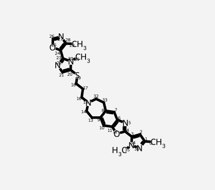 Cc1cc(-c2nc3cc4c(cc3o2)CCN(CCCSc2cnc(-c3ocnc3C)n2C)CC4)n(C)n1